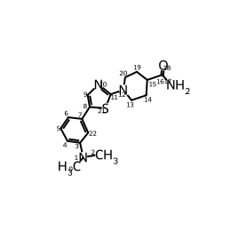 CN(C)c1cccc(-c2cnc(N3CCC(C(N)=O)CC3)s2)c1